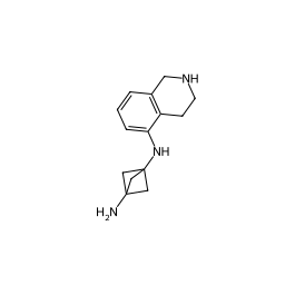 NC12CC(Nc3cccc4c3CCNC4)(C1)C2